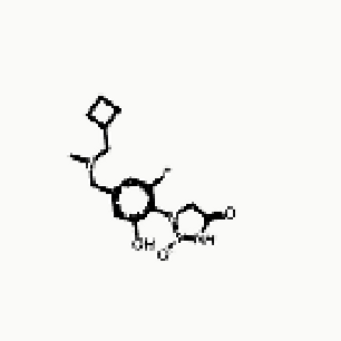 CN(Cc1cc(O)c(N2CC(=O)N[S+]2[O-])c(F)c1)CC1CCC1